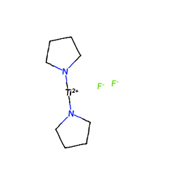 C1CC[N]([Ti+2][N]2CCCC2)C1.[F-].[F-]